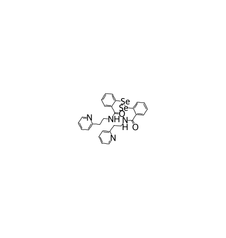 O=C(NCCc1ccccn1)c1ccccc1[Se][Se]c1ccccc1C(=O)NCCc1ccccn1